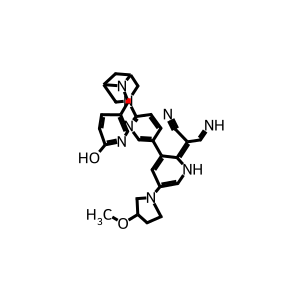 COC1CCN(C2=CN/C(=C(/C#N)C=N)C(c3ccc(N4CC5CC(C4)N5Cc4ccc(O)nc4)nc3)=C2)C1